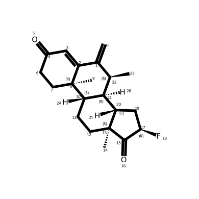 C=C1C2=CC(=O)CC[C@]2(C)[C@H]2CC[C@]3(C)C(=O)[C@H](F)C[C@H]3[C@@H]2[C@@H]1C